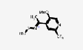 COc1cnc(C(F)(F)F)cc1/C(C)=N/SC(C)(C)C